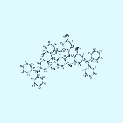 CC(C)c1cc(C(C)C)c(B2c3ccc(N(c4ccccc4)c4ccccc4)cc3Sc3cc4c(cc32)B2c3ccccc3Sc3cc(N(c5ccccc5)c5ccccc5)cc(c32)S4)c(C(C)C)c1